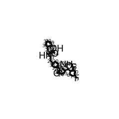 Nc1c(C(=O)c2ccc(F)cc2F)ccc(=O)n1-c1ccc(CCN[C@@H](Cc2ccccc2)C(=O)O)cc1